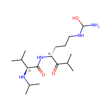 CC(C)N[C@H](C(=O)N[C@H](CCCNC(N)O)C(=O)C(C)C)C(C)C